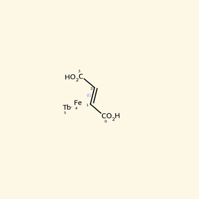 O=C(O)/C=C/C(=O)O.[Fe].[Tb]